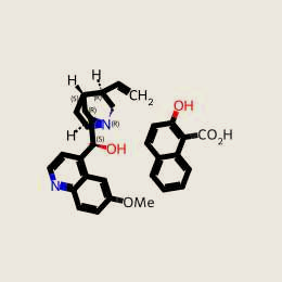 C=C[C@H]1C[N@]2CC[C@H]1C[C@@H]2[C@@H](O)c1ccnc2ccc(OC)cc12.O=C(O)c1c(O)ccc2ccccc12